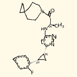 C[C@@H](Nc1nnc([C@@H]2C[C@@H]2c2ccccc2F)o1)C(=O)N1CCC2(CC1)CC2